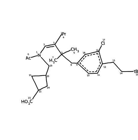 CC(=O)N(/C=C(/C(C)C)C(C)(C)Cc1ccc(CCC(C)(C)C)c(Cl)c1)CC1CC(C(=O)O)C1